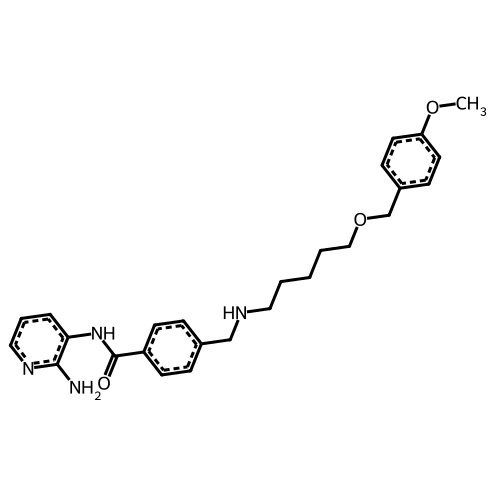 COc1ccc(COCCCCCNCc2ccc(C(=O)Nc3cccnc3N)cc2)cc1